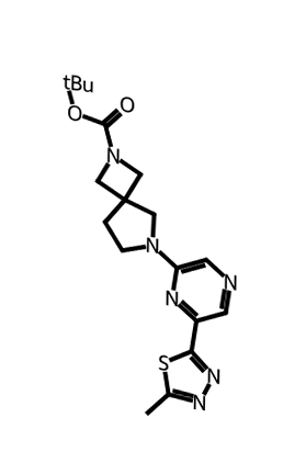 Cc1nnc(-c2cncc(N3CCC4(CN(C(=O)OC(C)(C)C)C4)C3)n2)s1